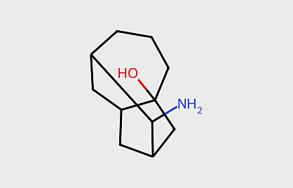 NC1C2CCCC3(O)CC1CC3C2